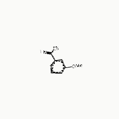 COc1cccc(C(=N)C#N)c1